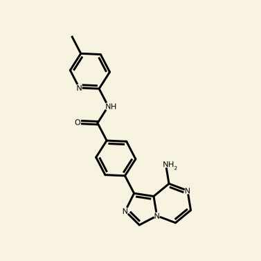 Cc1ccc(NC(=O)c2ccc(-c3ncn4ccnc(N)c34)cc2)nc1